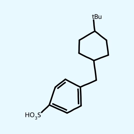 CC(C)(C)C1CCC(Cc2ccc(S(=O)(=O)O)cc2)CC1